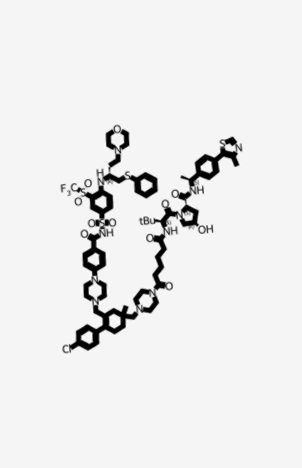 Cc1ncsc1-c1ccc([C@H](C)NC(=O)[C@@H]2C[C@@H](O)CN2C(=O)[C@@H](NC(=O)CCCCC(=O)N2CCN(CC3(C)CCC(c4ccc(Cl)cc4)=C(CN4CCN(c5ccc(C(=O)NS(=O)(=O)c6ccc(N[C@H](CCN7CCOCC7)CSc7ccccc7)c(S(=O)(=O)C(F)(F)F)c6)cc5)CC4)C3)CC2)C(C)(C)C)cc1